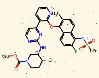 CCCS(=O)(=O)Nc1c(F)ccc2c(Oc3ncccc3-c3ccnc(N[C@@H]4CN(C(=O)OC(C)(C)C)CC[C@H]4C)n3)c(C)ccc12